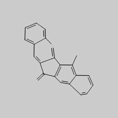 Cc1c2c(cc3ccccc13)C(=O)c1cc3ccccc3nc1-2